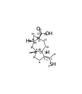 C/C(S)=C1/CC[C@]2(C)C[C@@H]3C[C@]3(C(=O)O)CC[C@@H]12